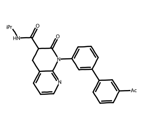 CC(=O)c1cccc(-c2cccc(N3C(=O)C(C(=O)NC(C)C)Cc4cccnc43)c2)c1